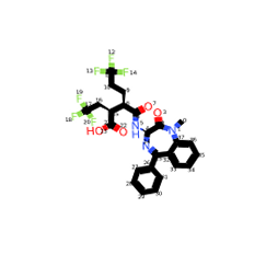 CN1C(=O)[C@@H](NC(=O)[C@H](CCC(F)(F)F)[C@H](CC(F)(F)F)C(=O)O)N=C(c2ccccc2)c2ccccc21